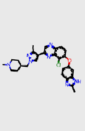 Cc1nc2ccc(Oc3ccc4ncc(-c5cn(CC6CCN(C)CC6)nc5C)nc4c3Cl)cc2[nH]1